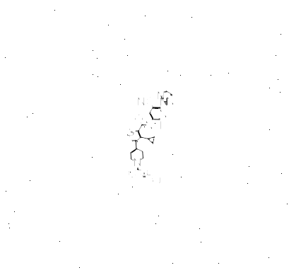 CC(C)(C)OC(=O)N1CC=C(c2nsc(C(=O)Nc3cnc(-n4nccn4)c(C#N)c3)c2C2CC2)CC1